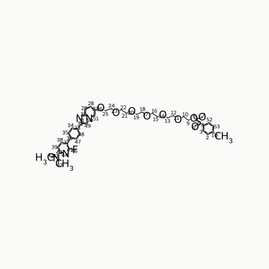 Cc1ccc(S(=O)(=O)OCCOCCOCCOCCOCCOCCOc2ccc3nc(-c4ccc(-c5ccc(N(C)C)nc5F)cc4)cn3c2)cc1